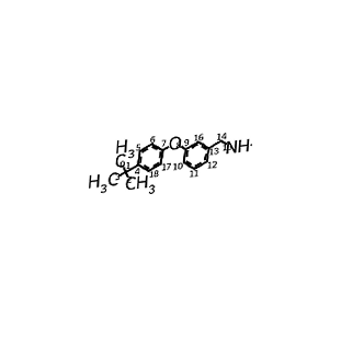 CC(C)(C)c1ccc(Oc2cccc(C[NH])c2)cc1